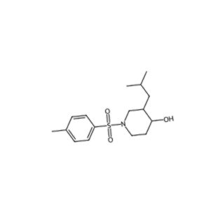 Cc1ccc(S(=O)(=O)N2CCC(O)C(CC(C)C)C2)cc1